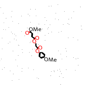 COC(=O)/C=C/C(=O)OCCC(=O)Oc1ccc(OC)cc1